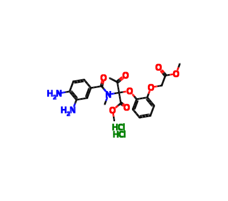 COC(=O)COc1ccccc1OC(C(C)=O)(C(=O)OC)N(C)C(=O)c1ccc(N)c(N)c1.Cl.Cl